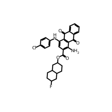 Nc1c(C(=O)OC2CCC3CC(F)CCC3C2)cc(Nc2ccc(Cl)cc2)c2c1C(=O)c1ccccc1C2=O